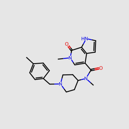 Cc1ccc(CN2CCC(N(C)C(=O)c3cn(C)c(=O)c4[nH]ccc34)CC2)cc1